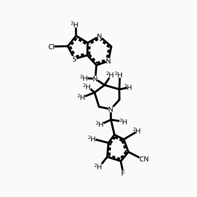 [2H]c1c([2H])c(C([2H])([2H])N2CC([2H])([2H])C([2H])(N([2H])c3ncnc4c([2H])c(Cl)sc34)C([2H])([2H])C2)c([2H])c(C#N)c1F